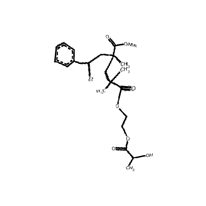 CCC(CC(C)(CC(C)(C)C(=O)OCCOC(=O)C(C)O)C(=O)OC)c1ccccc1